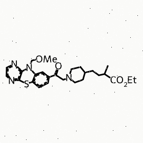 CCOC(=O)C(C)CCC1CCN(CC(=O)c2ccc3c(c2)N(COC)c2nccnc2S3)CC1